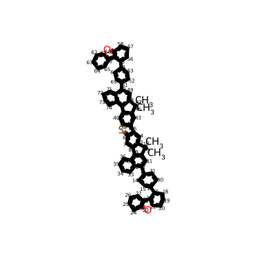 CC1(C)c2cc3c(cc2-c2c1cc(-c1ccc(-c4cccc5oc6ccccc6c45)cc1)c1ccccc21)sc1cc2c(cc13)C(C)(C)c1cc(-c3ccc(-c4cccc5oc6ccccc6c45)cc3)c3ccccc3c1-2